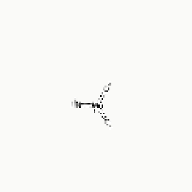 [NH]=[Mo](=[O])=[O]